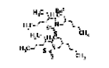 CCCCC(CC)CN(CC(CC)CCCC)C(=S)[S-].CCCCC(CC)CN(CC(CC)CCCC)C(=S)[S-].[Ba+2]